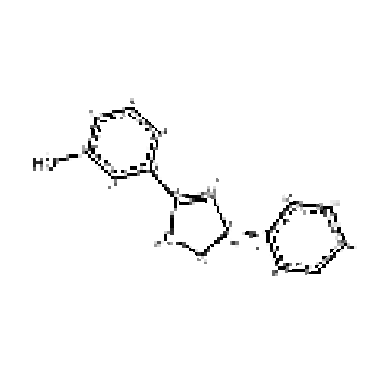 Oc1cccc(C2=N[C@H](c3ccccc3)CO2)c1